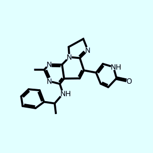 Cc1nc(NC(C)c2ccccc2)c2c(n1)N1CCN=C1C(c1ccc(=O)[nH]c1)=C2